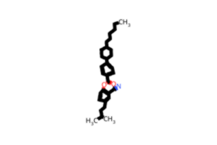 CCCCCCC1CCC(c2ccc(C(=O)Oc3ccc(CCC(C)C)cc3C#N)cc2)CC1